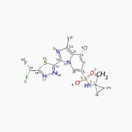 CC1(NS(=O)(=O)c2cc(Cl)c3c(I)nc(-c4nnc(C(F)F)s4)n3c2)CC1